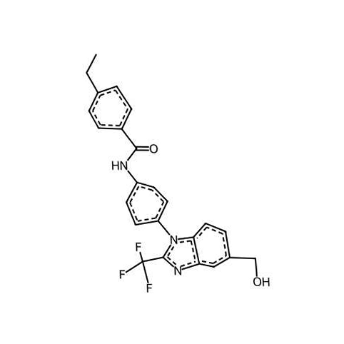 CCc1ccc(C(=O)Nc2ccc(-n3c(C(F)(F)F)nc4cc(CO)ccc43)cc2)cc1